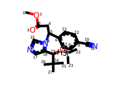 COC(=O)CC(c1ccc(C#N)cc1)n1cncc1C(O[SiH](C)C)C(C)(C)C